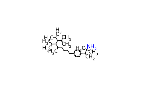 C=C(C)C(C(C)C)C(C(=C)CCCCc1ccc(C(=C)C(C)(C)N)cc1)C(C)C